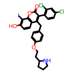 O=c1oc2c(I)c(O)ccc2c(Cc2ccc(OCCC3CCCN3)cc2)c1-c1ccc(Cl)cc1Cl